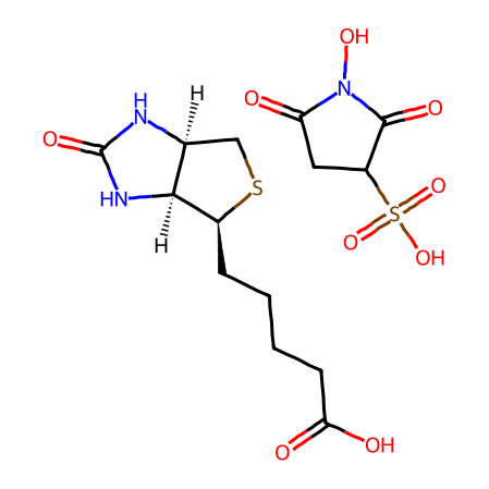 O=C(O)CCCC[C@@H]1SC[C@@H]2NC(=O)N[C@@H]21.O=C1CC(S(=O)(=O)O)C(=O)N1O